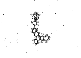 CC1(C)OB(c2ccc(-c3ccc4cc(-c5ccccc5-c5ccc6ccccc6c5)ccc4c3)cc2)OC1(C)C